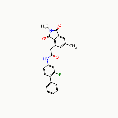 Cc1cc(CC(=O)Nc2ccc(-c3ccccc3)c(F)c2)c2c(c1)C(=O)N(C)C2=O